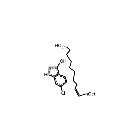 CCCCCCCC/C=C\CCCCCCCC(=O)O.Oc1c[nH]c2cc(Cl)ccc12